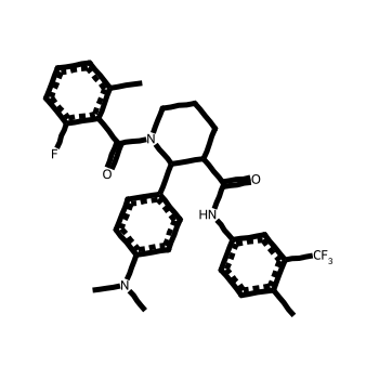 Cc1ccc(NC(=O)C2CCCN(C(=O)c3c(C)cccc3F)C2c2ccc(N(C)C)cc2)cc1C(F)(F)F